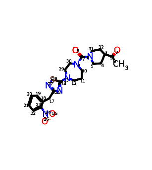 CC(=O)C1CCN(C(=O)N2CCCN(c3nc(Cc4ccccc4[N+](=O)[O-])ns3)CC2)CC1